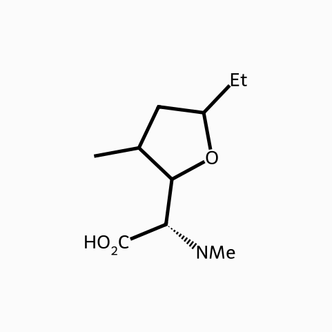 CCC1CC(C)C([C@H](NC)C(=O)O)O1